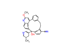 COc1cc2c3cc(ccc3n1)C(O)(C1=CN=CC(C)C1)c1ccc(C#N)c(c1)CCc1cccc-2c1